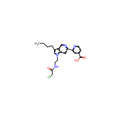 CCCCc1cn(CCNC(=O)CCl)c2cc(-c3cc(C(=O)O)ccn3)ncc12